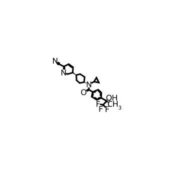 C[C@](O)(c1ccc(C(=O)N(C2CC2)[C@H]2CC[C@H](C3C=CC(C#N)=NC3)CC2)cc1)C(F)(F)F